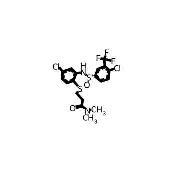 CN(C)C(=O)CCSc1ccc(Cl)cc1N[S+]([O-])c1ccc(Cl)c(C(F)(F)F)c1